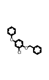 Clc1cc(Oc2cc[c]cc2)ccc1OCc1ccccc1